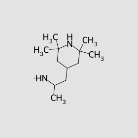 CC([NH])CC1CC(C)(C)NC(C)(C)C1